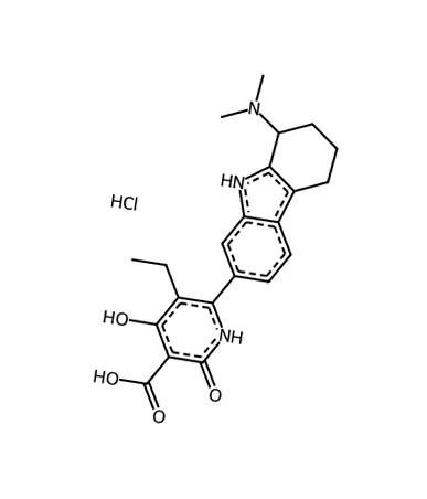 CCc1c(-c2ccc3c4c([nH]c3c2)C(N(C)C)CCC4)[nH]c(=O)c(C(=O)O)c1O.Cl